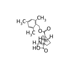 Cc1cc(C)c(COC(=O)[C@H]2[C@@H]3CC[C@@](N)(C(=O)O)[C@@H]32)c(C)c1